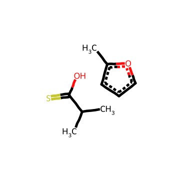 CC(C)C(O)=S.Cc1ccco1